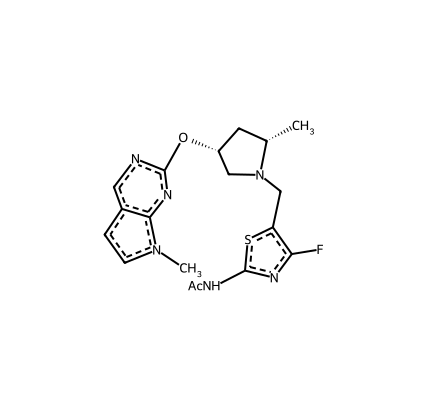 CC(=O)Nc1nc(F)c(CN2C[C@H](Oc3ncc4ccn(C)c4n3)C[C@@H]2C)s1